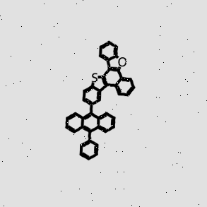 c1ccc(-c2c3ccccc3c(-c3ccc4sc5c(c4c3)c3ccccc3c3oc4ccccc4c35)c3ccccc23)cc1